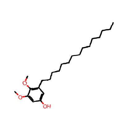 CCCCCCCCCCCCCCCc1cc(O)cc(OC)c1OC